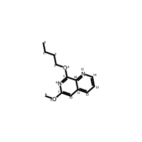 CCCCOc1nc(OC)cc2cccnc12